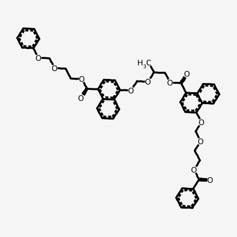 CC(COC(=O)c1ccc(OCOCCOC(=O)c2ccccc2)c2ccccc12)OCOc1ccc(C(=O)OCCOCOc2ccccc2)c2ccccc12